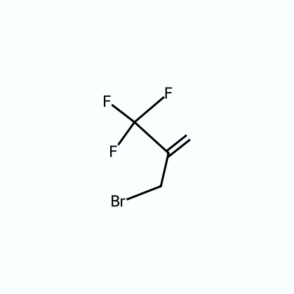 C=C(CBr)C(F)(F)F